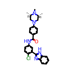 C[C@@H]1CN(c2ccc(C(=O)Nc3ccc(Cl)c(-c4nc5ccccc5[nH]4)c3)cc2)C[C@H](C)N1C